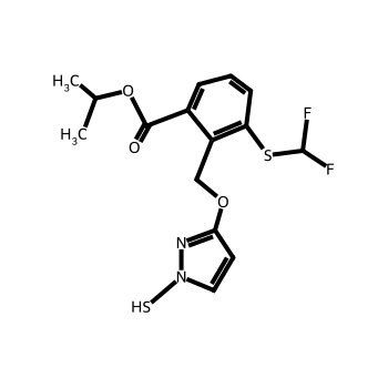 CC(C)OC(=O)c1cccc(SC(F)F)c1COc1ccn(S)n1